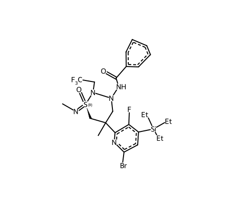 CC[Si](CC)(CC)c1cc(Br)nc(C2(C)CN(NC(=O)c3ccccc3)N(CC(F)(F)F)[S@@](=O)(=NC)C2)c1F